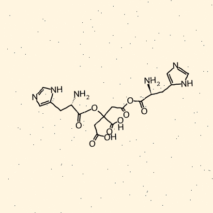 N[C@@H](Cc1cnc[nH]1)C(=O)OC(=O)CC(CC(=O)O)(OC(=O)[C@@H](N)Cc1cnc[nH]1)C(=O)O